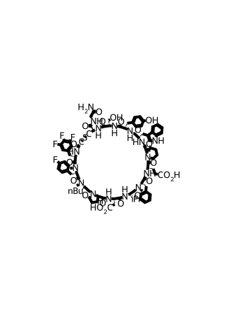 CCCC[C@H]1C(=O)N2CCC[C@@H]2C(=O)N[C@@H](CC(=O)O)C(=O)N[C@@H](C(C)C)C(=O)N(C)[C@@H](Cc2ccccc2)C(=O)N[C@@H](CCC(=O)O)C(=O)N2CCCC[C@@H]2C(=O)N[C@@H](Cc2c[nH]c3ccccc23)C(=O)N[C@@H](Cc2ccc(O)cc2)C(=O)N[C@@H](CO)C(=O)N[C@H](C(=O)NCC(N)=O)CSCC(=O)N[C@@H](Cc2cc(F)c(F)c(F)c2)C(=O)N(C)[C@@H](Cc2ccc(F)cc2)C(=O)N1C